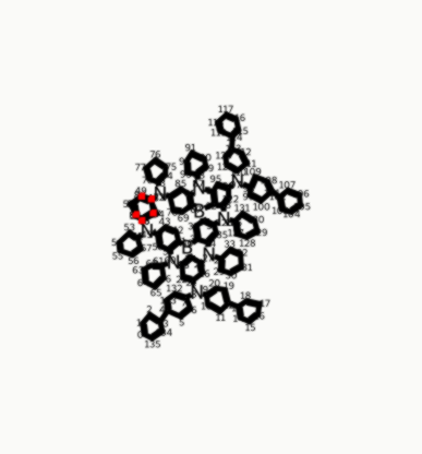 c1ccc(-c2ccc(N(c3ccc(-c4ccccc4)cc3)c3cc4c5c(c3)N(c3ccccc3)c3cc6c(cc3B5c3ccc(N(c5ccccc5)c5ccccc5)cc3N4c3ccccc3)B3c4ccc(N(c5ccccc5)c5ccccc5)cc4N(c4ccccc4)c4cc(N(c5ccc(-c7ccccc7)cc5)c5ccc(-c7ccccc7)cc5)cc(c43)N6c3ccccc3)cc2)cc1